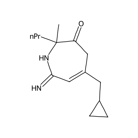 CCCC1(C)NC(=N)C=C(CC2CC2)CC1=O